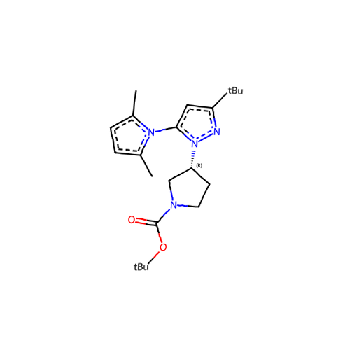 Cc1ccc(C)n1-c1cc(C(C)(C)C)nn1[C@@H]1CCN(C(=O)OC(C)(C)C)C1